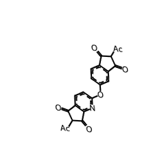 CC(=O)C1C(=O)c2ccc(Oc3ccc4c(n3)C(=O)C(C(C)=O)C4=O)cc2C1=O